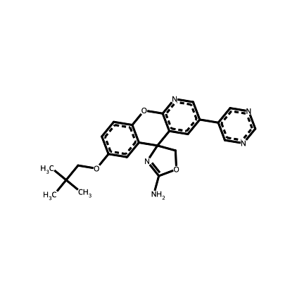 CC(C)(C)COc1ccc2c(c1)C1(COC(N)=N1)c1cc(-c3cncnc3)cnc1O2